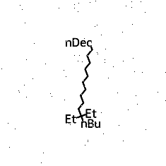 CCCCCCCCCCCCCCCCCCCCC(CC)(CC)CCCC